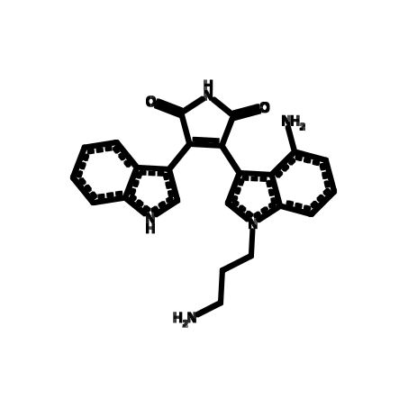 NCCCn1cc(C2=C(c3c[nH]c4ccccc34)C(=O)NC2=O)c2c(N)cccc21